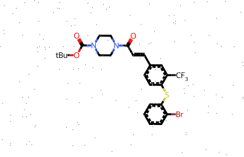 CC(C)(C)OC(=O)N1CCN(C(=O)C=Cc2ccc(Sc3ccccc3Br)c(C(F)(F)F)c2)CC1